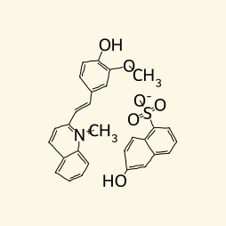 COc1cc(C=Cc2ccc3ccccc3[n+]2C)ccc1O.O=S(=O)([O-])c1cccc2cc(O)ccc12